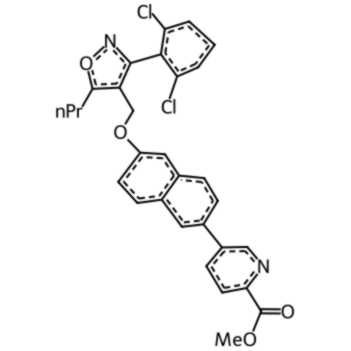 CCCc1onc(-c2c(Cl)cccc2Cl)c1COc1ccc2cc(-c3ccc(C(=O)OC)nc3)ccc2c1